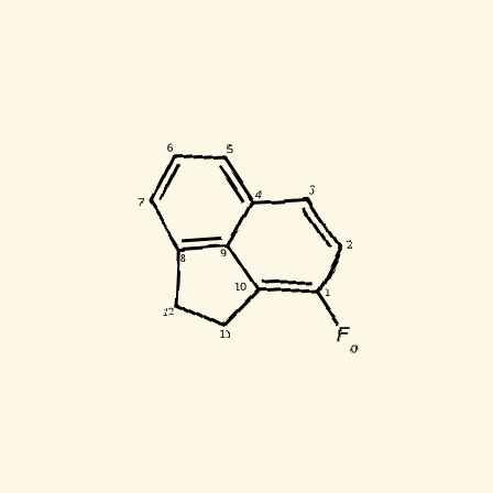 Fc1ccc2cccc3c2c1CC3